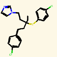 CC(CCc1ccc(Cl)cc1)(CCn1ccnc1)Sc1ccc(Cl)cc1